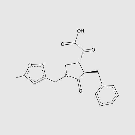 Cc1cc(CN2C[C@H](C(=O)C(=O)O)[C@@H](Cc3ccccc3)C2=O)no1